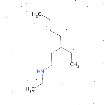 CCCCC(CC)CCNCC